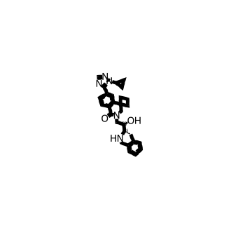 O=C1c2ccc(-c3ncnn3C3CC3)cc2C2(CCC2)CN1C[C@@H](O)[C@@H]1Cc2ccccc2CN1